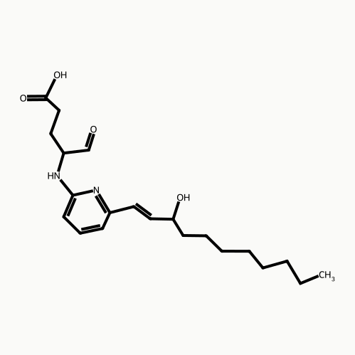 CCCCCCCCC(O)C=Cc1cccc(NC(C=O)CCC(=O)O)n1